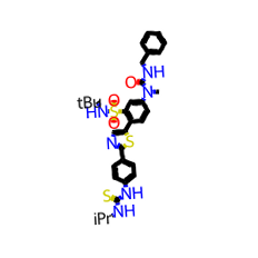 CC(C)NC(=S)Nc1ccc(-c2ncc(-c3ccc(N(C)C(=O)NCc4ccccc4)cc3S(=O)(=O)NC(C)(C)C)s2)cc1